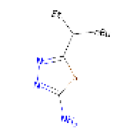 CCCCC(CC)c1nnc(N)s1